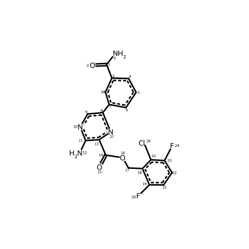 NC(=O)c1cccc(-c2cnc(N)c(C(=O)OCc3c(F)ccc(F)c3Cl)n2)c1